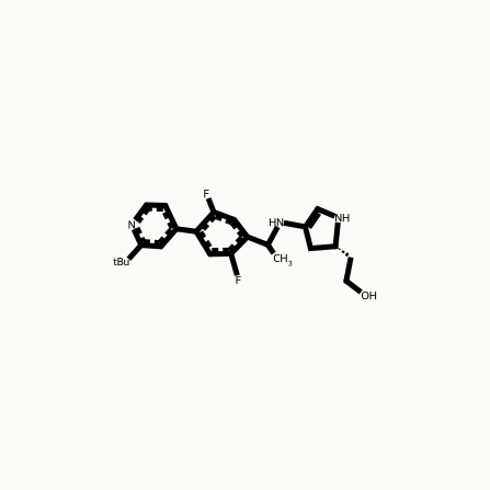 CC(NC1=CN[C@H](CCO)C1)c1cc(F)c(-c2ccnc(C(C)(C)C)c2)cc1F